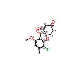 COc1cc(C)c(Cl)c2c1C(=O)[C@@]1(CCC(=O)C=C1O)O2